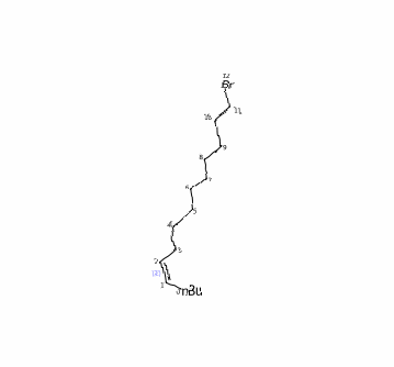 CCCC/C=C\CCCCCCCCCBr